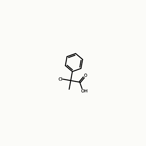 CC(Cl)(C(=O)O)c1ccccc1